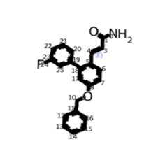 NC(=O)/C=C/c1ccc(OCc2ccccc2)cc1-c1cccc(F)c1